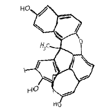 CC1(c2cc(I)c(O)c(I)c2)c2c(ccc3cc(O)ccc23)Oc2ccc3cc(O)ccc3c21